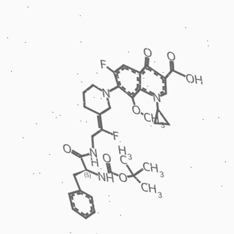 COc1c(N2CCCC(=C(F)CNC(=O)[C@H](Cc3ccccc3)NC(=O)OC(C)(C)C)C2)c(F)cc2c(=O)c(C(=O)O)cn(C3CC3)c12